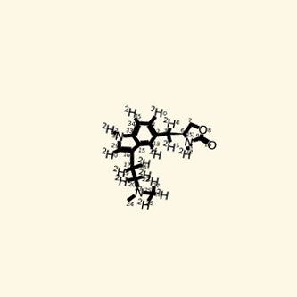 [2H]c1c(C([2H])([2H])[C@H]2COC(=O)N2[2H])c([2H])c2c(C([2H])([2H])C([2H])([2H])N(C)C([2H])([2H])[2H])c([2H])n([2H])c2c1[2H]